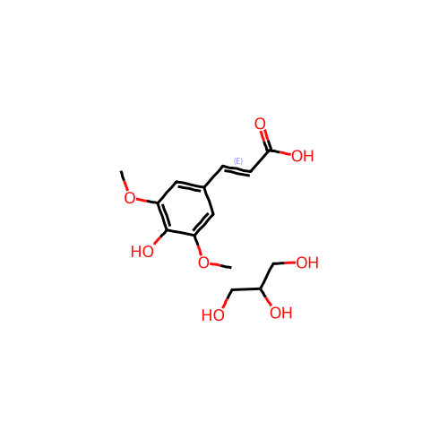 COc1cc(/C=C/C(=O)O)cc(OC)c1O.OCC(O)CO